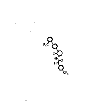 O=C(Nc1ccc(C(F)(F)F)cc1)N[C@@H]1CCCN(c2ccc(-c3ccccc3C(F)(F)F)cc2)C1=O